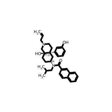 C=CCN1CC[C@@]2(c3cccc(O)c3)C[C@H](N(CC(C)C)C(=O)c3ccc4ccccc4c3)CC[C@]2(O)C1